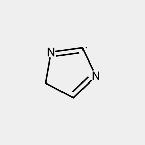 [C]1=NCC=N1